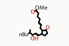 CCCCC(C)C(O)C=CC1CCC(=O)C1CC=CCCCC(=O)OC